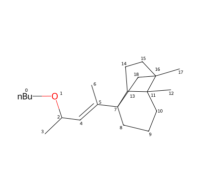 CCCCOC(C)/C=C(\C)C12CCCC3(C)C1CCC3(C)C2